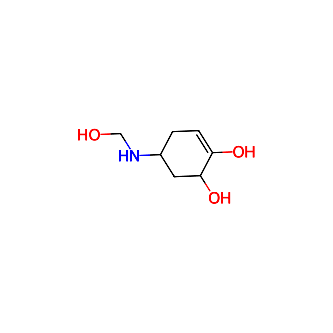 OCNC1CC=C(O)C(O)C1